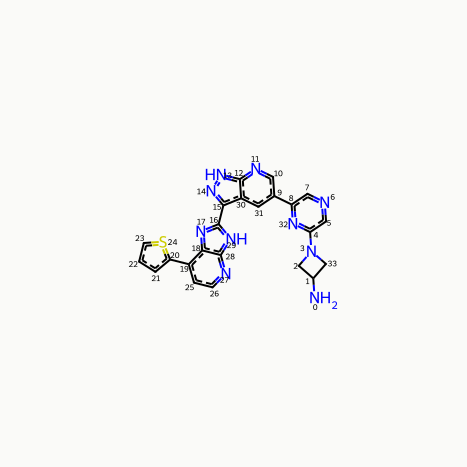 NC1CN(c2cncc(-c3cnc4[nH]nc(-c5nc6c(-c7cccs7)ccnc6[nH]5)c4c3)n2)C1